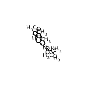 CC(=O)[C@H]1CC[C@H]2[C@@H]3CCC4=C/C(=N/OC(=O)[C@@H](N)C(C)C)CC[C@]4(C)C3CC[C@]12C